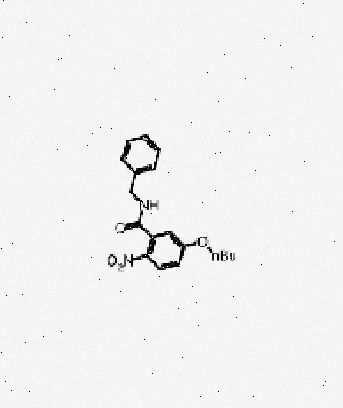 CCCCOc1ccc([N+](=O)[O-])c(C(=O)NCc2ccccc2)c1